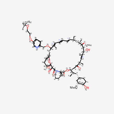 CO[C@@H]1C[C@H](C[C@@H](C)[C@@H]2CC(=O)[C@H](C)/C=C(\C)[C@@H](O)[C@@H](OC)C(=O)[C@H](C)C[C@H](C)/C=C/C=C/C=C(\C)C(OCc3ccc(OCCO[Si](C)(C)C(C)(C)C)cn3)C[C@@H]3CC[C@@H](C)[C@@](O)(O3)C(=O)C(=O)N3CCCC[C@H]3C(=O)O2)CC[C@H]1O